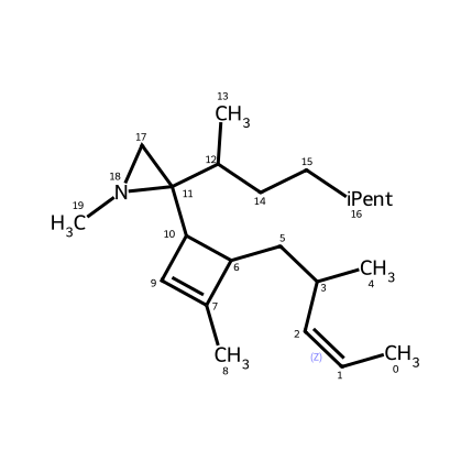 C/C=C\C(C)CC1C(C)=CC1C1(C(C)CCC(C)CCC)CN1C